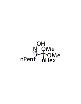 CCCCCCC(OC)(OC)/C(CCCCC)=N\O